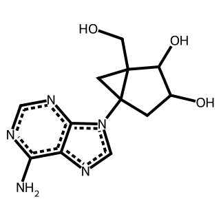 Nc1ncnc2c1ncn2C12CC(O)C(O)C1(CO)C2